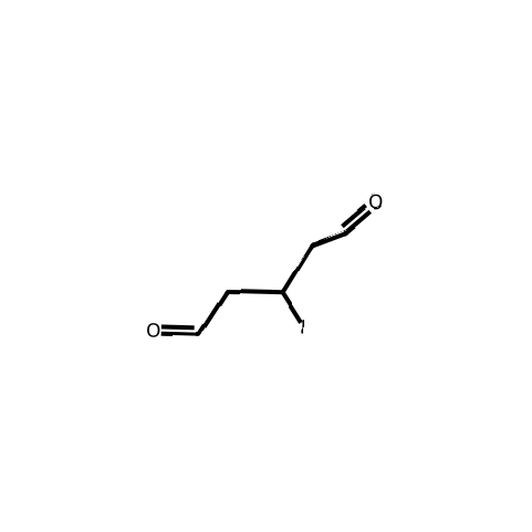 O=CCC(I)CC=O